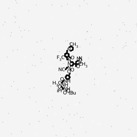 CC(C)[C@H](NC(=O)OC(C)(C)C)C(=O)N[C@@H](C)C(=O)Nc1ccc(COC(=O)N(CCC#N)c2cc(C3(Cc4nncn4C)COC3)cc(N3Cc4c(cc(CN5CCC[C@H](C)C5)cc4C(F)(F)F)C3=O)n2)cc1